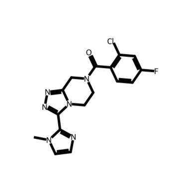 Cn1ccnc1-c1nnc2n1CCN(C(=O)c1ccc(F)cc1Cl)C2